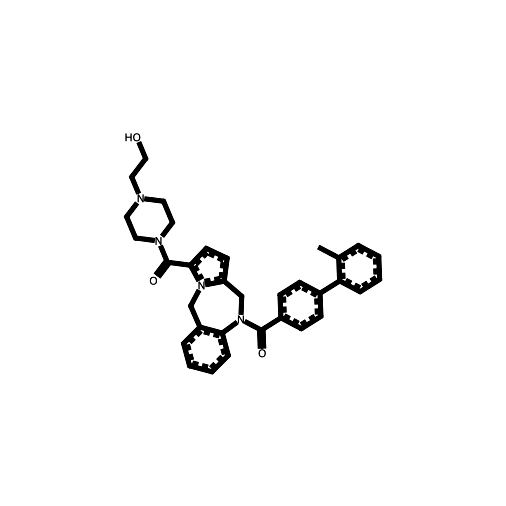 Cc1ccccc1-c1ccc(C(=O)N2Cc3ccc(C(=O)N4CCN(CCO)CC4)n3Cc3ccccc32)cc1